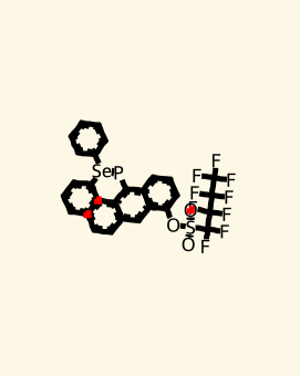 O=S(=O)(Oc1cccc2c(P=[Se](c3ccccc3)c3ccccc3)c3ccccc3cc12)C(F)(F)C(F)(F)C(F)(F)C(F)(F)F